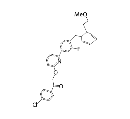 COCCC1C=CC=CC1Cc1ccc(-c2cccc(OCC(=O)c3ccc(Cl)cc3)n2)cc1F